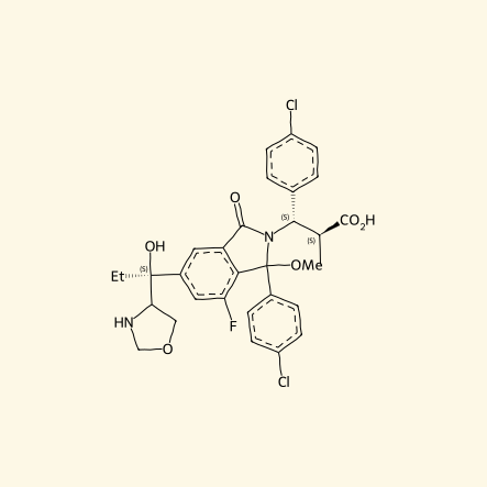 CC[C@](O)(c1cc(F)c2c(c1)C(=O)N([C@H](c1ccc(Cl)cc1)[C@H](C)C(=O)O)C2(OC)c1ccc(Cl)cc1)C1COCN1